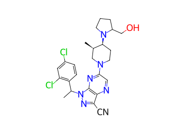 CC(c1ccc(Cl)cc1Cl)n1nc(C#N)c2ncc(N3CC[C@H](N4CCCC4CO)[C@H](C)C3)nc21